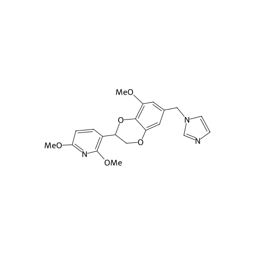 COc1ccc(C2COc3cc(Cn4ccnc4)cc(OC)c3O2)c(OC)n1